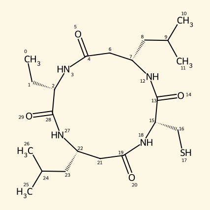 CC[C@@H]1NC(=O)C[C@H](CC(C)C)NC(=O)[C@H](CS)NC(=O)C[C@H](CC(C)C)NC1=O